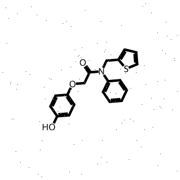 O=C(COc1ccc(O)cc1)N(Cc1cccs1)c1ccccc1